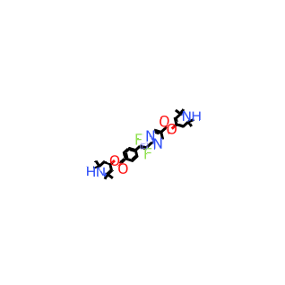 CC1(C)CC(OC(=O)c2ccc(/C(F)=C(\F)c3ncc(C(=O)OC4CC(C)(C)NC(C)(C)C4)cn3)cc2)CC(C)(C)N1